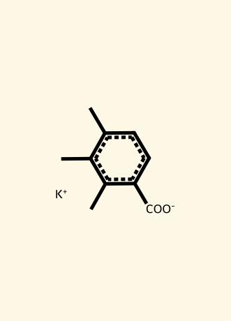 Cc1ccc(C(=O)[O-])c(C)c1C.[K+]